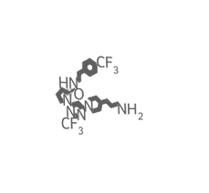 NCCCC1CCN(c2cc(N3CCC[C@H]3C(=O)NCCc3ccc(C(F)(F)F)cc3)nc(C(F)(F)F)n2)CC1